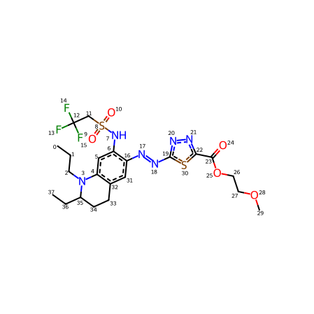 CCCN1c2cc(NS(=O)(=O)CC(F)(F)F)c(N=Nc3nnc(C(=O)OCCOC)s3)cc2CCC1CC